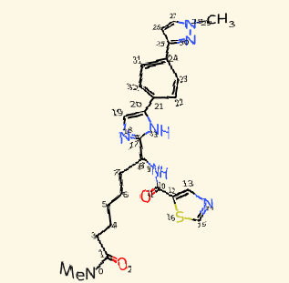 CNC(=O)CCCCCC(NC(=O)c1cncs1)c1ncc(-c2ccc(-c3ccn(C)n3)cc2)[nH]1